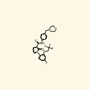 O=C(Nc1ccc(CN2CCOCC2)cc1)c1cccn(-c2ccc(F)cc2OCC(F)(F)F)c1=O